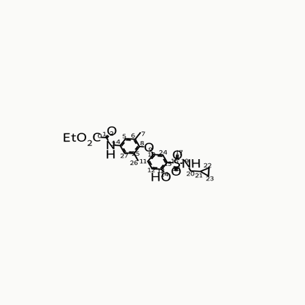 CCOC(=O)C(=O)Nc1cc(C)c(Oc2ccc(O)c(S(=O)(=O)NCC3CC3)c2)c(C)c1